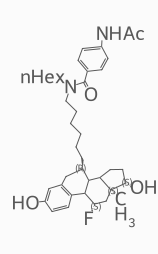 CCCCCCN(CCCCCC[C@@H]1Cc2cc(O)ccc2C2C1C1CC[C@H](O)[C@@]1(C)C[C@@H]2F)C(=O)c1ccc(NC(C)=O)cc1